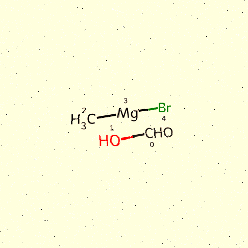 O=CO.[CH3][Mg][Br]